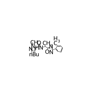 CCCCc1cc(C(=O)NC(C)c2nc(-c3ccccc3C)no2)n(C)n1